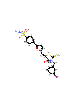 NS(=O)(=O)c1ccc(-c2ccc(/C=C3\SC(=S)N(Cc4cccc(I)c4)C3=O)o2)cc1